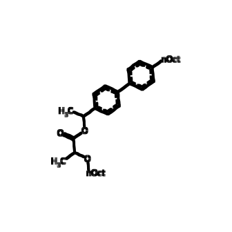 CCCCCCCCOC(C)C(=O)OC(C)c1ccc(-c2ccc(CCCCCCCC)cc2)cc1